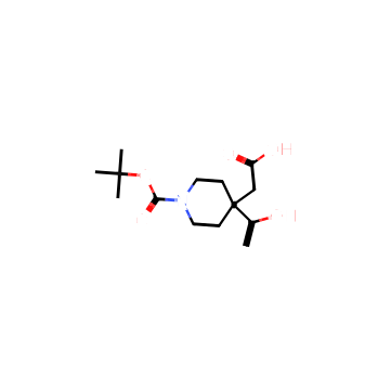 C=C(O)C1(CC(=O)O)CCN(C(=O)OC(C)(C)C)CC1